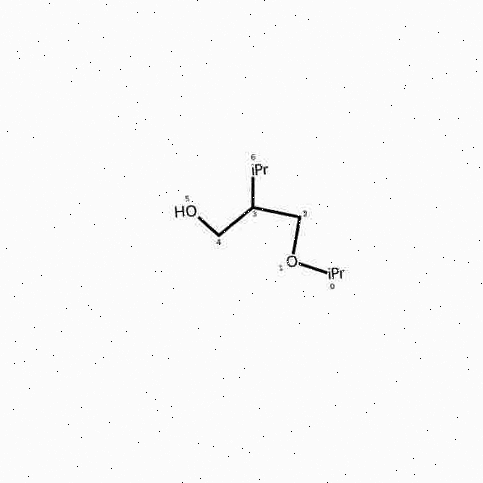 CC(C)OCC(CO)C(C)C